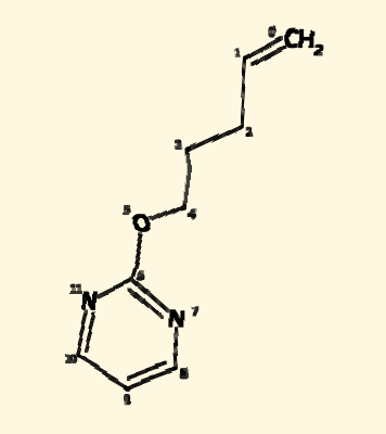 C=CCCCOc1ncccn1